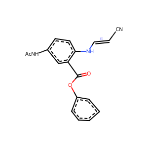 CC(=O)Nc1ccc(N/C=C/C#N)c(C(=O)Oc2ccccc2)c1